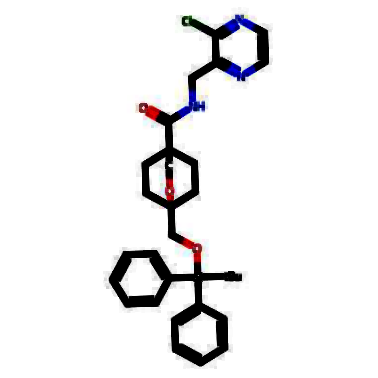 CC(C)(C)[Si](OCC12CCC(C(=O)NCc3nccnc3Cl)(CC1)CO2)(c1ccccc1)c1ccccc1